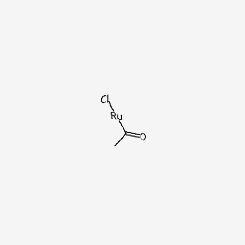 C[C](=O)[Ru][Cl]